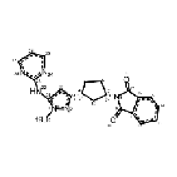 CC(C)(C)n1nc([C@@H]2CC[C@H](N3C(=O)c4ccccc4C3=O)C2)cc1Nc1ncccn1